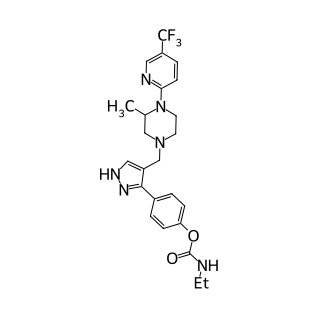 CCNC(=O)Oc1ccc(-c2n[nH]cc2CN2CCN(c3ccc(C(F)(F)F)cn3)C(C)C2)cc1